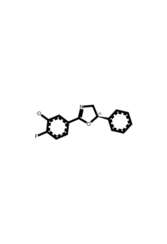 [O]c1cc(C2=NC[C@@H](c3ccccc3)O2)ccc1F